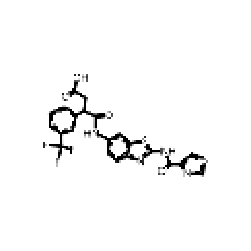 O=C(O)CC(C(=O)Nc1ccc2nc(NC(=O)c3cscn3)sc2c1)c1cccc(C(F)(F)F)c1